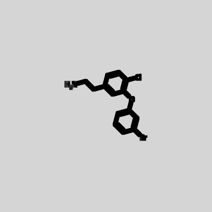 NCCc1ccc(Cl)c(Oc2cccc(Br)c2)c1